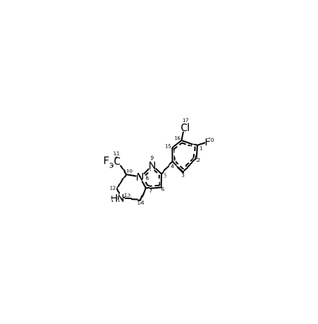 Fc1ccc(-c2cc3n(n2)C(C(F)(F)F)CNC3)cc1Cl